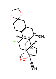 C#C[C@]1(O)CC[C@H]2[C@H]3[C@@H](C4=C(C[C@H]3C)CC3(CC4)OCCO3)[C@@H](F)C[C@@]21C